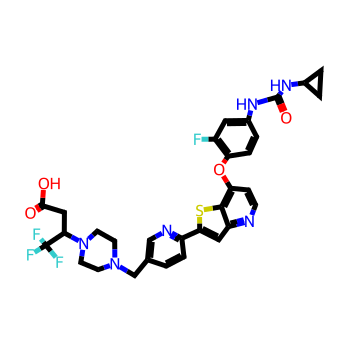 O=C(O)CC(N1CCN(Cc2ccc(-c3cc4nccc(Oc5ccc(NC(=O)NC6CC6)cc5F)c4s3)nc2)CC1)C(F)(F)F